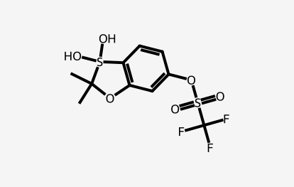 CC1(C)Oc2cc(OS(=O)(=O)C(F)(F)F)ccc2S1(O)O